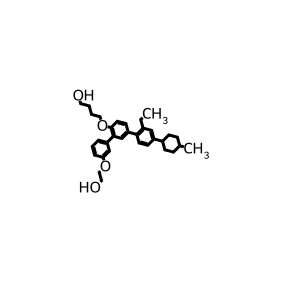 CCc1cc(C2CCC(C)CC2)ccc1-c1ccc(OCCCCO)c(-c2cccc(OCCO)c2)c1